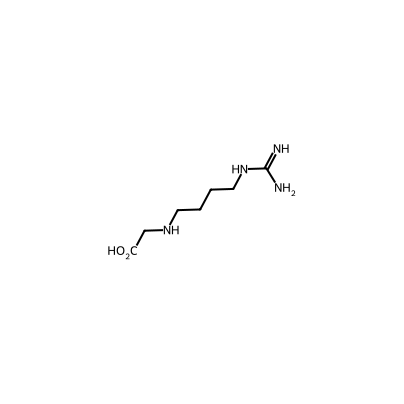 N=C(N)NCCCCNCC(=O)O